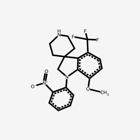 COc1ccc(C(F)(F)F)c2c1N(c1ccccc1[N+](=O)[O-])CC21CCNCC1